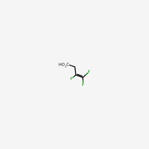 O=C(O)CC(F)=C(F)F